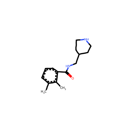 Cc1cccc(C(=O)NCC2CCNCC2)c1C